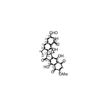 COC1=CC(=O)c2c(O)c3c(c(O)c2C1=O)C(=O)[C@]1(CCc2cc4cc(C=O)[nH]c(=O)c4c(O)c21)C3=O